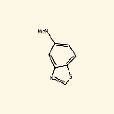 CNc1ccc2scnc2c1